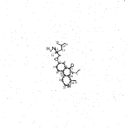 CCn1c(=O)c2cc(OC[C@@](C)(N)CC(C)C)ccc2c2ccnc(C)c21